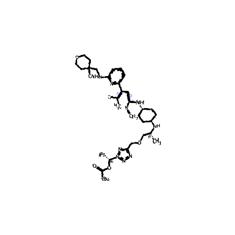 C=N/C(=C\C(=C(/C)Cl)c1cccc(NCC2(C#N)CCOCC2)n1)N[C@H]1CC[C@H](N[C@H](C)COCc2nnn([C@H](OC(=O)C(C)(C)C)C(C)C)n2)CC1